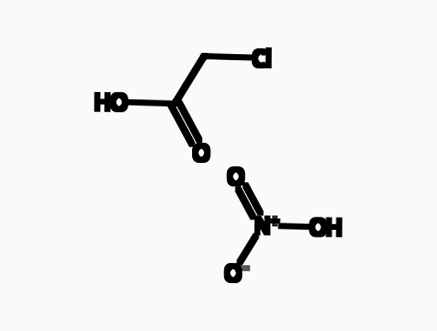 O=C(O)CCl.O=[N+]([O-])O